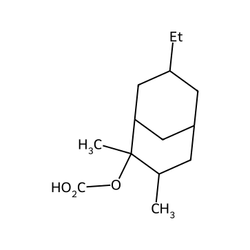 CCC1CC2CC(C)C(C)(OC(=O)O)C(C1)C2